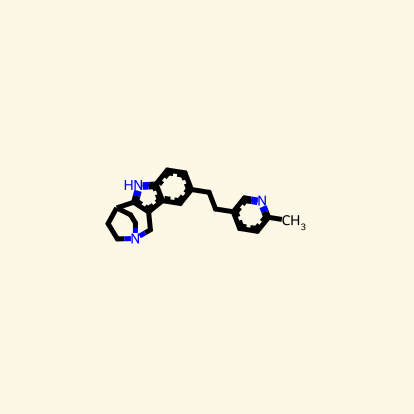 Cc1ccc(CCc2ccc3[nH]c4c(c3c2)CN2CCC4CC2)cn1